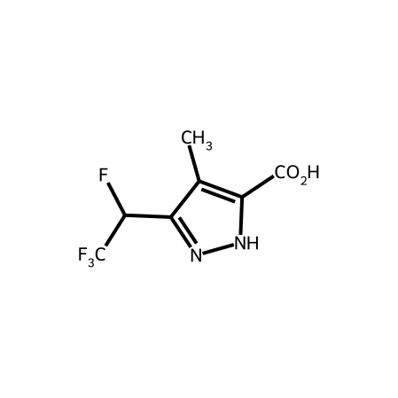 Cc1c(C(F)C(F)(F)F)n[nH]c1C(=O)O